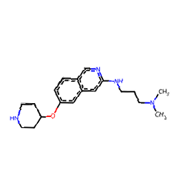 CN(C)CCCNc1cc2cc(OC3CCNCC3)ccc2cn1